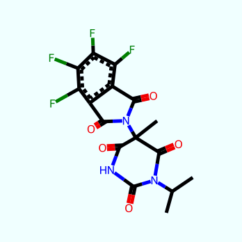 CC(C)N1C(=O)NC(=O)C(C)(N2C(=O)c3c(F)c(F)c(F)c(F)c3C2=O)C1=O